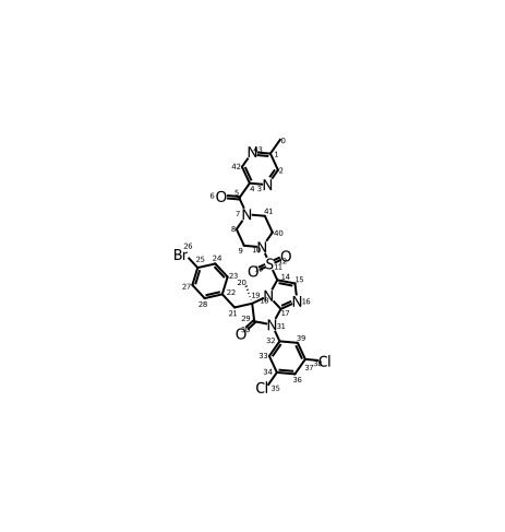 Cc1cnc(C(=O)N2CCN(S(=O)(=O)c3cnc4n3[C@](C)(Cc3ccc(Br)cc3)C(=O)N4c3cc(Cl)cc(Cl)c3)CC2)cn1